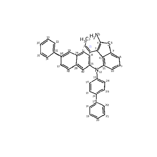 C/C=C\c1c(N)sc2cccc(N(c3ccc(-c4ccccc4)cc3)c3ccc4cc(-c5ccccc5)ccc4c3)c12